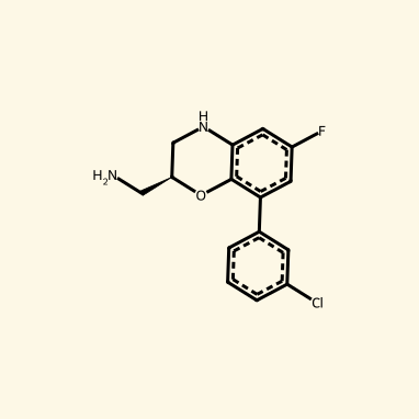 NC[C@H]1CNc2cc(F)cc(-c3cccc(Cl)c3)c2O1